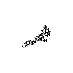 COc1ccc2nccc([C@H](F)CC[C@@H]3CCN(CCSc4cccc(Cl)c4)C[C@@H]3C(=O)O)c2c1